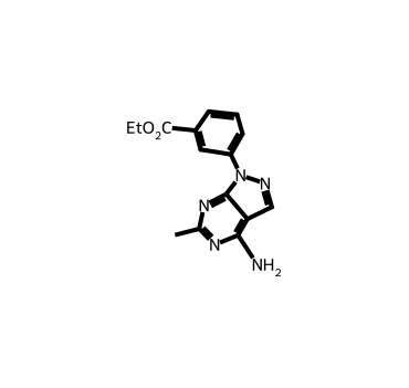 CCOC(=O)c1cccc(-n2ncc3c(N)nc(C)nc32)c1